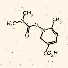 CC1=CC=C(C(=O)O)CN1OC(=O)N(C)C